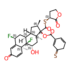 C[C@@H]1C[C@H]2[C@@H]3C[C@H](F)C4=CC(=O)C=C[C@]4(C)[C@@]3(F)[C@@H](O)C[C@]2(C)[C@@]1(OC(=O)C1=CC(=S)CC=C1)C(=O)S[C@H]1CCOC1=O